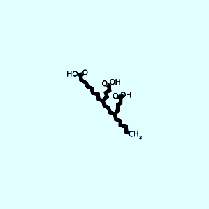 CCCCCCC(CCCC(=O)O)CCCC(CCCCCCCC(=O)O)CCCC(=O)O